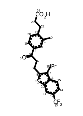 Cc1cc(C(=O)CCc2sc3cc(C(F)(F)F)ccc3c2C(C)C)ccc1CCC(=O)O